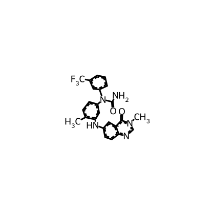 Cc1ccc(N(C(N)=O)c2cccc(C(F)(F)F)c2)cc1Nc1ccc2ncn(C)c(=O)c2c1